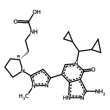 Cn1nc(-c2cn(C(C3CC3)C3CC3)c(=O)c3c(N)n[nH]c23)cc1N1CCC[C@@H]1CCNC(=O)O